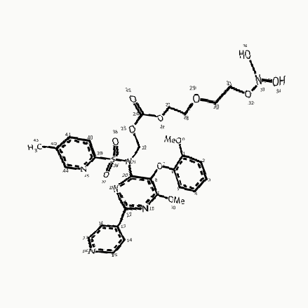 COc1ccccc1Oc1c(OC)nc(-c2ccncc2)nc1N(COC(=O)OCCOCCON(O)O)S(=O)(=O)c1ccc(C)cn1